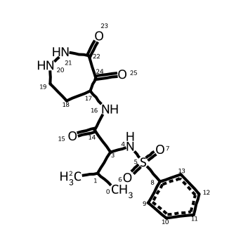 CC(C)C(NS(=O)(=O)c1ccccc1)C(=O)NC1CCNNC(=O)C1=O